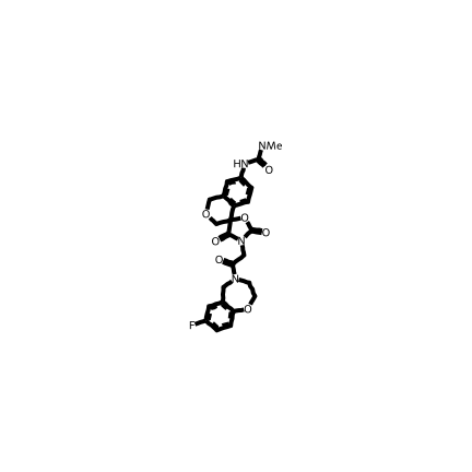 CNC(=O)Nc1ccc2c(c1)COCC21OC(=O)N(CC(=O)N2CCOc3ccc(F)cc3C2)C1=O